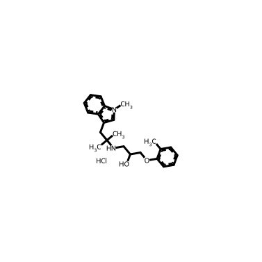 Cc1ccccc1OCC(O)CNC(C)(C)Cc1cn(C)c2ccccc12.Cl